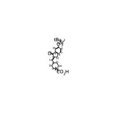 CC(C)(C)[Si](C)(C)Oc1ccc2c(c1)C(=O)C(=CC1CCN(C(=O)O)CC1)C2